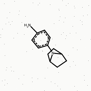 Nc1ccc(N2C3CCC2CC3)cc1